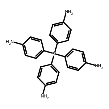 Nc1ccc([Si](c2ccc(N)cc2)(c2ccc(N)cc2)c2ccc(N)cc2)cc1